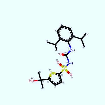 CC(C)c1cccc(C(C)C)c1NC(=O)NS(=O)(=O)c1ccc(C(C)(C)O)s1